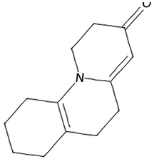 O=C1C=C2CCC3=C(CCCC3)N2CC1